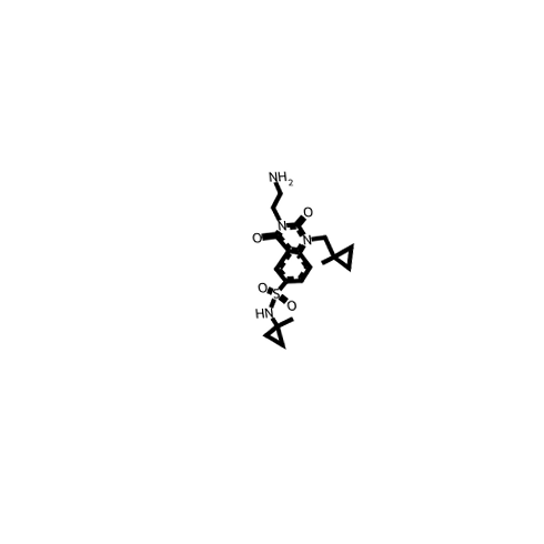 CC1(Cn2c(=O)n(CCN)c(=O)c3cc(S(=O)(=O)NC4(C)CC4)ccc32)CC1